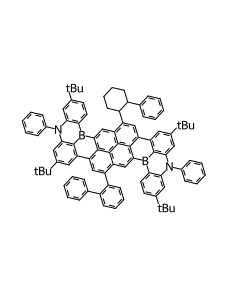 CC(C)(C)c1ccc2c(c1)N(c1ccccc1)c1cc(C(C)(C)C)cc3c1B2c1cc2c(C4CCCCC4c4ccccc4)cc4c5c(cc6c(-c7ccccc7-c7ccccc7)cc-3c1c6c25)B1c2ccc(C(C)(C)C)cc2N(c2ccccc2)c2cc(C(C)(C)C)cc-4c21